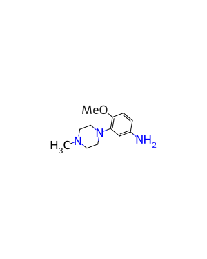 COc1ccc(N)cc1N1CCN(C)CC1